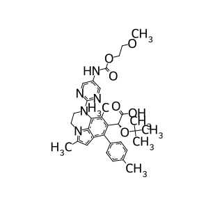 COCCOC(=O)Nc1cnc(N2CCn3c(C)cc4c(-c5ccc(C)cc5)c([C@H](OC(C)(C)C)C(=O)O)c(C)c2c43)nc1